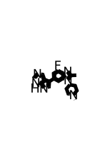 Cc1nc2c(F)cc(-c3c[nH]c4ncncc34)cc2n1C1CCN(C)CC1